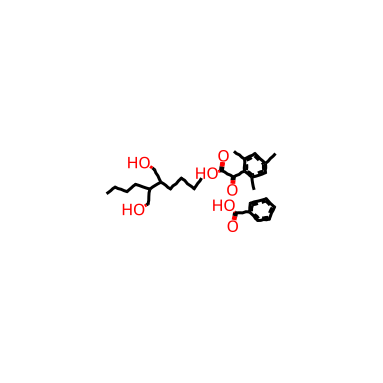 CCCCC(CO)C(CO)CCCC.Cc1cc(C)c(C(=O)C(=O)O)c(C)c1.O=C(O)c1ccccc1